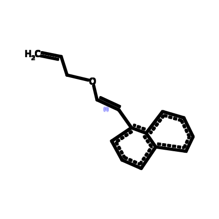 C=CCO/C=C/c1cccc2ccccc12